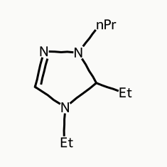 CCCN1N=CN(CC)C1CC